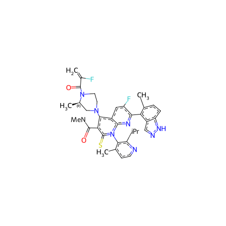 C=C(F)C(=O)N1CCN(c2c(C(=O)NC)c(=S)n(-c3c(C)ccnc3C(C)C)c3nc(-c4c(C)ccc5[nH]ncc45)c(F)cc23)C[C@H]1C